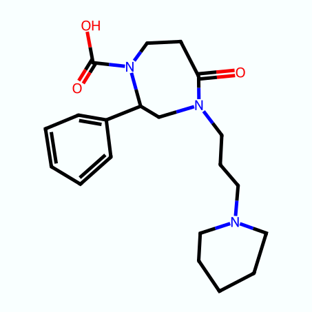 O=C1CCN(C(=O)O)C(c2ccccc2)CN1CCCN1CCCCC1